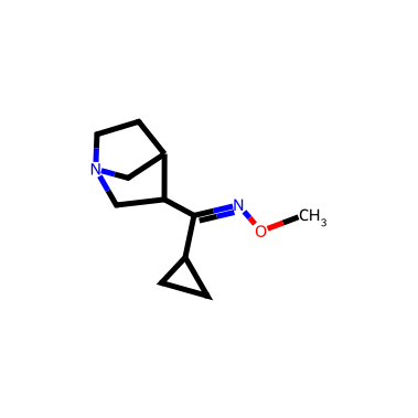 CON=C(C1CC1)C1CN2CCC1C2